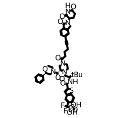 CC(C)(C)C(NC(=O)c1cc2cc(C(F)(F)P(=O)(O)O)ccc2s1)C(=O)N1CCN(C(=O)CCCC#Cc2ccc3c(c2)CN(C2CCC(=O)NC2=O)C3=O)C[C@H]1C(=O)N1CCO[C@H](c2ccccc2)C1